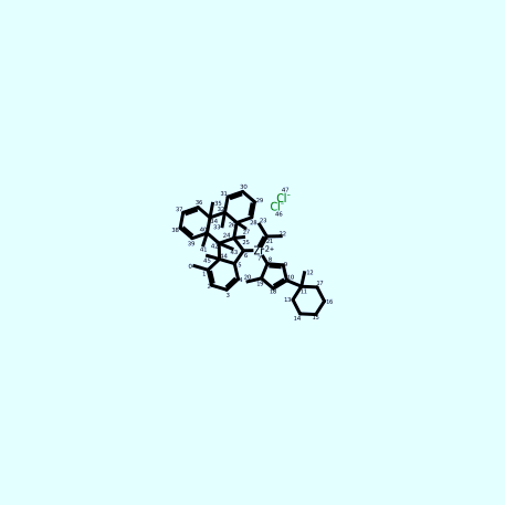 CC1=CC=CC2[CH]([Zr+2]([C]3=CC(C4(C)CCCCC4)=CC3C)=[C](C)C)C3(C)C4(C)C=CC=CC4(C)C4(C)C=CC=CC4(C)C3(C)C12C.[Cl-].[Cl-]